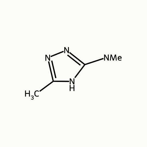 CNc1nnc(C)[nH]1